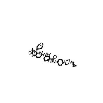 C[C@@H]1C(=O)N(C)c2ccc(Nc3cccc(C(=O)N[C@H]4CC[C@H](N5CCN(CC6CC6)CC5)CC4)c3)nc2N1C1CCOCC1